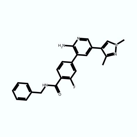 Cc1nn(C)cc1-c1cnc(N)c(-c2ccc(C(=O)NCc3ccccc3)c(F)c2)c1